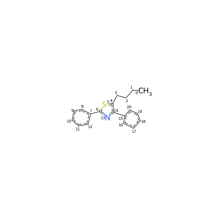 CCCCc1sc(-c2ccccc2)nc1-c1ccccc1